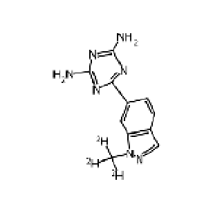 [2H]C([2H])([2H])n1ncc2ccc(-c3nc(N)nc(N)n3)cc21